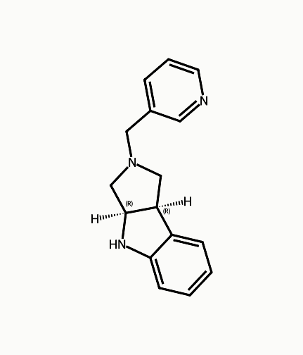 c1cncc(CN2C[C@@H]3Nc4ccccc4[C@@H]3C2)c1